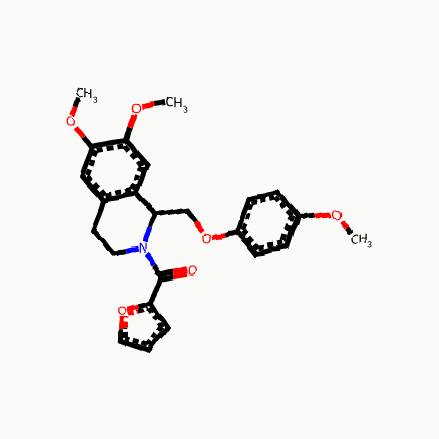 COc1ccc(OCC2c3cc(OC)c(OC)cc3CCN2C(=O)c2ccco2)cc1